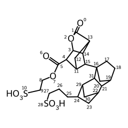 O=C1OC2C(C(=O)OCCS(=O)(=O)O)C3CC1C2C3C12CCC(C1)C1C3CC(CCCS(=O)(=O)O)C(C3)C12